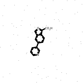 O=C(O)c1occ2cc(-c3cccnc3)ccc12